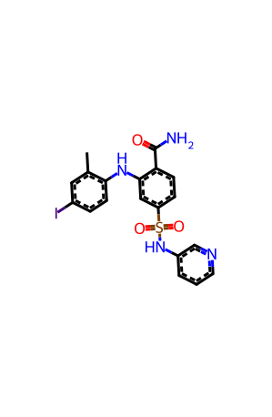 Cc1cc(I)ccc1Nc1cc(S(=O)(=O)Nc2cccnc2)ccc1C(N)=O